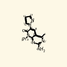 Cc1nc(N)nc2c1cc(-n1cccn1)c(=O)n2C(C)C